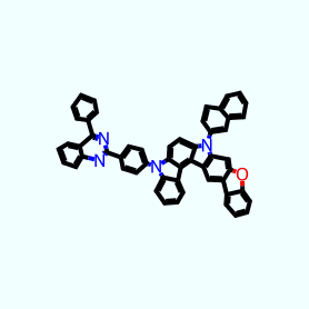 c1ccc(-c2nc(-c3ccc(-n4c5ccccc5c5c6c7cc8c(cc7n(-c7ccc9ccccc9c7)c6ccc54)oc4ccccc48)cc3)nc3ccccc23)cc1